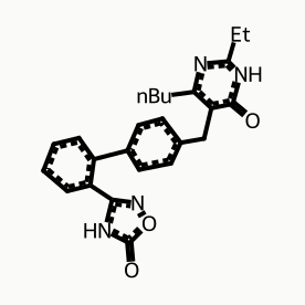 CCCCc1nc(CC)[nH]c(=O)c1Cc1ccc(-c2ccccc2-c2noc(=O)[nH]2)cc1